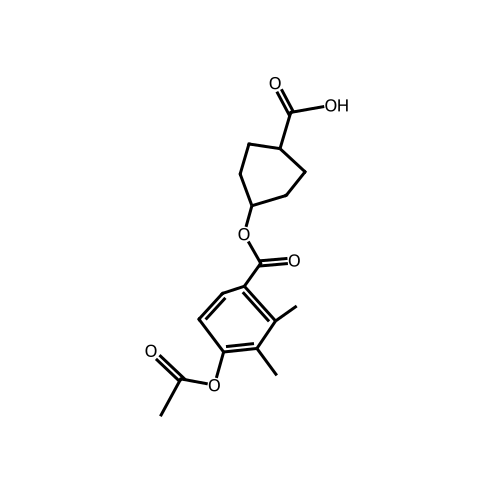 CC(=O)Oc1ccc(C(=O)OC2CCC(C(=O)O)CC2)c(C)c1C